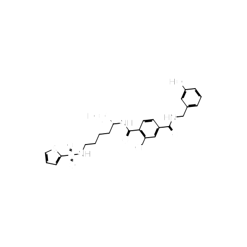 O=C(NCc1cccc(O)c1)c1ccc(C(=O)N[C@@H](CCCCNS(=O)(=O)c2cccs2)C(=O)O)c(Cl)c1